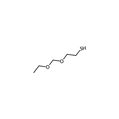 CCOCOCCS